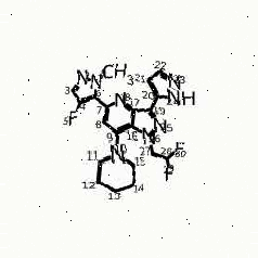 Cn1ncc(F)c1-c1cc(N2CCCCC2)c2c(n1)c(-c1ccn[nH]1)nn2CC(F)F